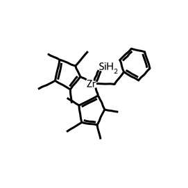 CC1=C(C)C(C)[C]([Zr](=[SiH2])([CH2]c2ccccc2)[C]2=C(C)C(C)=C(C)C2C)=C1C